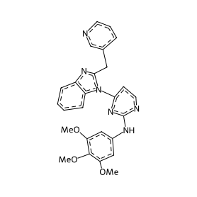 COc1cc(Nc2nccc(-n3c(Cc4cccnc4)nc4ccccc43)n2)cc(OC)c1OC